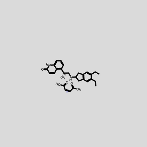 CCc1cc2c(cc1CC)CC(NC[C@H](O)c1cccc3[nH]c(=O)ccc13)C2.O=C(O)/C=C\C(=O)O